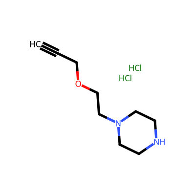 C#CCOCCN1CCNCC1.Cl.Cl